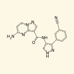 N#Cc1cccc(-c2n[nH]cc2NC(=O)c2cnn3ccc(N)nc23)c1